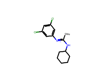 CS/C(=N\c1cc(Cl)cc(Cl)c1)NC1CCCCC1